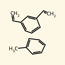 C=Cc1cccc(C=C)c1.Cc1ccccc1